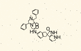 CN1CC(c2ccccc2)N(CC(=O)Nc2ccc3c(c2)CC2(C3)C(=O)NC3=C2C=CCN3)C(=O)C1Cc1ccccc1